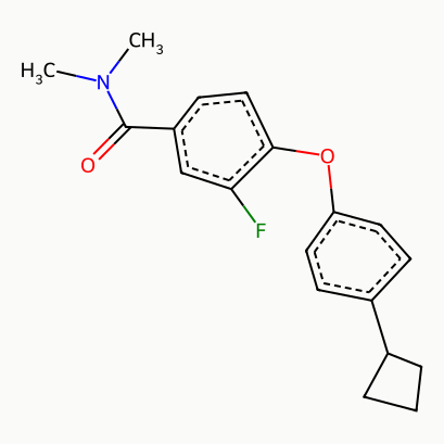 CN(C)C(=O)c1ccc(Oc2ccc(C3CCC3)cc2)c(F)c1